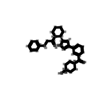 O=C(c1cccc(-c2n[nH]c([C@H]3CCCCN3C(=O)COc3ccccc3)n2)c1)N1CC[NH+]([O-])CC1